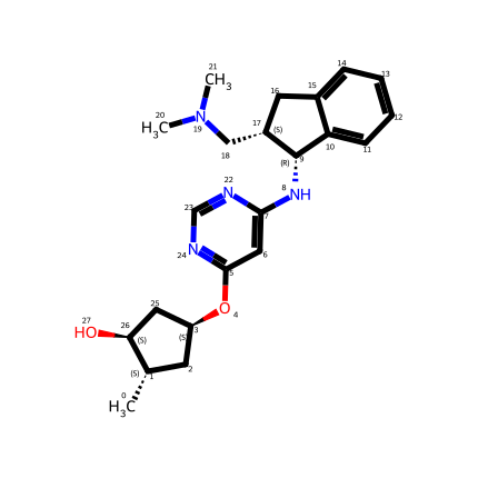 C[C@H]1C[C@H](Oc2cc(N[C@H]3c4ccccc4C[C@H]3CN(C)C)ncn2)C[C@@H]1O